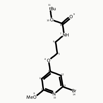 COc1cc(OCCNC(=O)OC(C)(C)C)cc(Br)n1